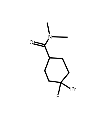 CC(C)C1(F)CCC(C(=O)N(C)C)CC1